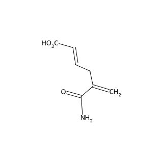 C=C(CC=CC(=O)O)C(N)=O